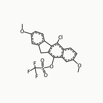 COc1ccc2c(c1)Cc1c-2c(Cl)c2ccc(OC)cc2c1OS(=O)(=O)C(F)(F)F